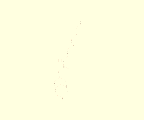 CC1CC2CC(CC(=O)NCCOCCOCC(=O)O)CC(C1)C2